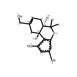 CCCc1cc(O)c2c(c1)OC(C)(C)[C@@H]1CC=C(CO)C[C@@H]21